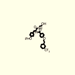 CC(C)Oc1ccc(C=C(NC(=O)c2ccc(OCCc3cccc(C(F)(F)F)c3)cc2)C(=O)NCCO)cc1